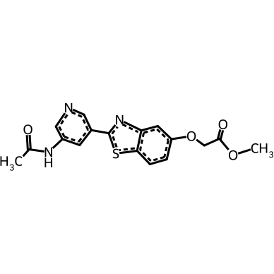 COC(=O)COc1ccc2sc(-c3cncc(NC(C)=O)c3)nc2c1